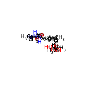 Cc1ccc(C2CC(O)[C@H](O)C(C(C)(C)O)O2)cc1Cc1ccc(CCCC(=O)NC2(C(=O)NCCN(C)C)CC2)cc1